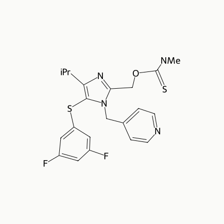 CNC(=S)OCc1nc(C(C)C)c(Sc2cc(F)cc(F)c2)n1Cc1ccncc1